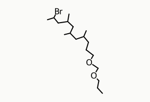 CCCOCOCCCC(C)CC(C)CC(C)CC(C)Br